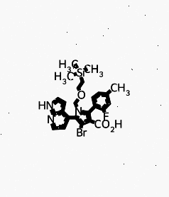 Cc1ccc(-c2c(C(=O)O)c(Br)c(-c3ccnc4[nH]ccc34)n2COCC[Si](C)(C)C)c(F)c1